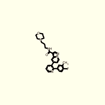 Cc1cc(-c2ncccc2-c2ccn3ncc(C(=O)NCCCN4CCOCC4)c3c2)ccc1F